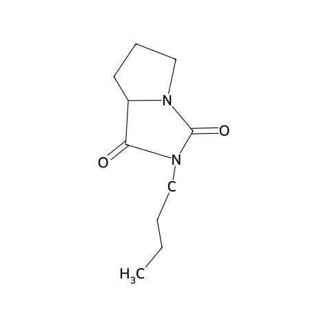 CCCCN1C(=O)C2CCCN2C1=O